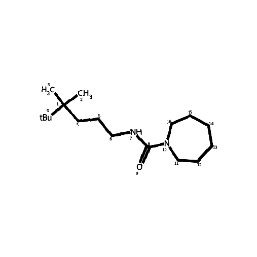 CC(C)(C)C(C)(C)CCCNC(=O)N1CCCCCC1